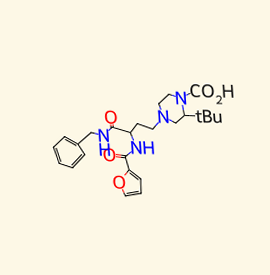 CC(C)(C)C1CN(CCC(NC(=O)c2ccco2)C(=O)NCc2ccccc2)CCN1C(=O)O